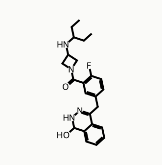 CCC(CC)NC1CN(C(=O)c2cc(CC3=NNC(O)c4ccccc43)ccc2F)C1